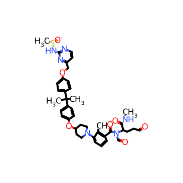 CNC(=O)C(CCC=O)N(C=O)C(=O)c1cccc(N2CCC(Oc3ccc(C(C)(C)c4ccc(OCc5ccnc(N[S+](C)[O-])n5)cc4)cc3)CC2)c1C